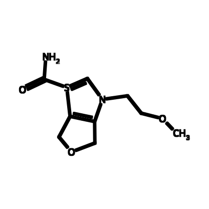 COCCN1C=S(C(N)=O)C2=C1COC2